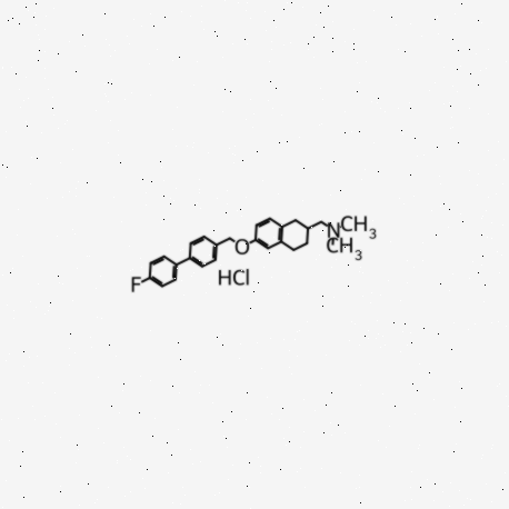 CN(C)CC1CCc2cc(OCc3ccc(-c4ccc(F)cc4)cc3)ccc2C1.Cl